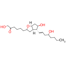 CCCCC(O)C/C=C/[C@@H]1[C@H]2CC(CCCCC(=O)CO)O[C@H]2C[C@H]1O